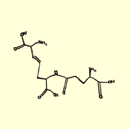 NC(C=CCC(NC(=O)CC[C@@H](N)C(=O)O)C(=O)O)C(=O)O